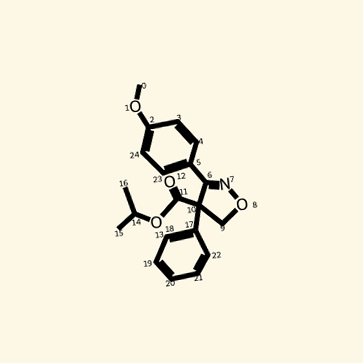 COc1ccc(C2=NOCC2(C(=O)OC(C)C)c2ccccc2)cc1